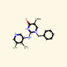 COc1cn(Cc2ccccc2)c(Nc2cncc(Cl)c2C)nc1=O